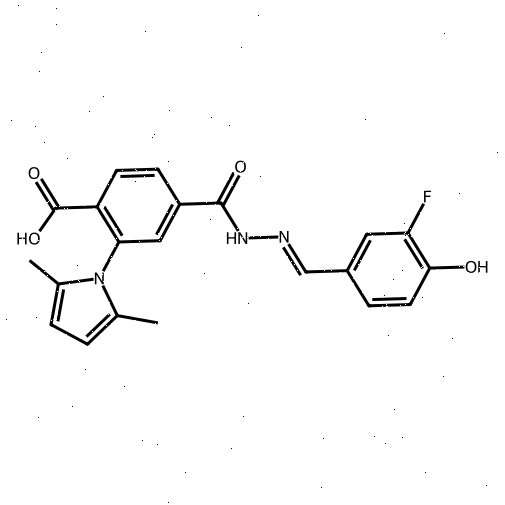 Cc1ccc(C)n1-c1cc(C(=O)N/N=C/c2ccc(O)c(F)c2)ccc1C(=O)O